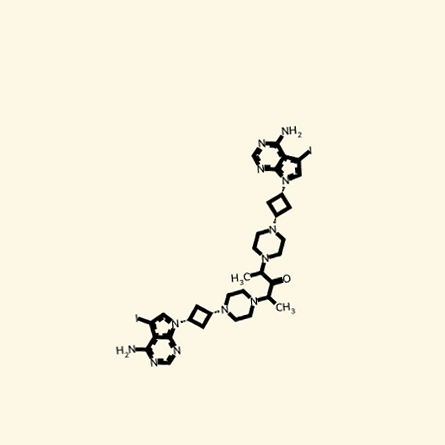 CC(C(=O)C(C)N1CCN([C@H]2C[C@@H](n3cc(I)c4c(N)ncnc43)C2)CC1)N1CCN([C@H]2C[C@@H](n3cc(I)c4c(N)ncnc43)C2)CC1